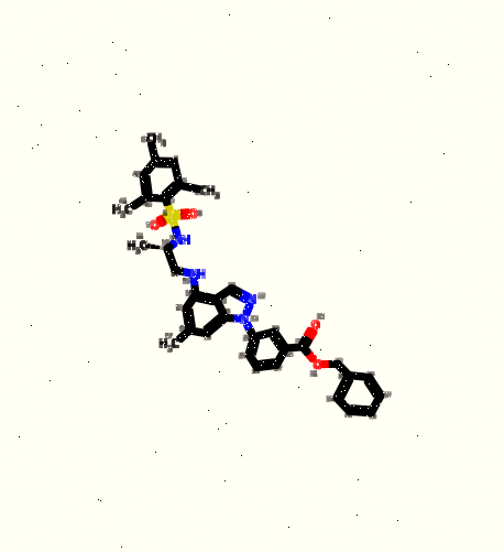 Cc1cc(C)c(S(=O)(=O)N[C@@H](C)CNc2cc(C)cc3c2cnn3-c2cccc(C(=O)OCc3ccccc3)c2)c(C)c1